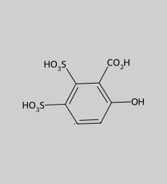 O=C(O)c1c(O)c[c]c(S(=O)(=O)O)c1S(=O)(=O)O